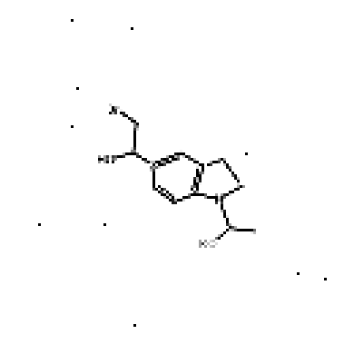 CC(O)N1CCc2cc(C(O)CBr)ccc21